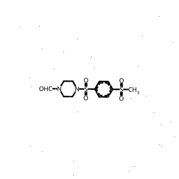 CS(=O)(=O)c1ccc(S(=O)(=O)N2CCN(C=O)CC2)cc1